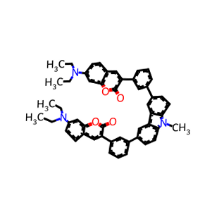 CCN(CC)c1ccc2cc(-c3cccc(-c4ccc5c(c4)c4cc(-c6cccc(-c7cc8ccc(N(CC)CC)cc8oc7=O)c6)ccc4n5C)c3)c(=O)oc2c1